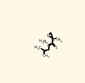 CC(C)C[C@H](N)C(=O)[C@@]1(C)CO1